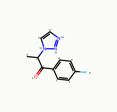 CC(C(=O)c1ccc(F)cc1)n1ccnn1